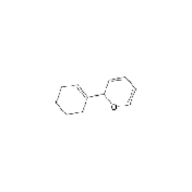 C1=COC(C2=CCCCC2)C=C1